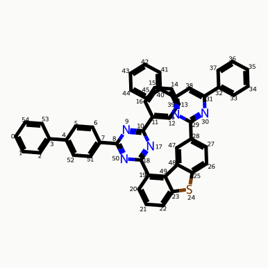 c1ccc(-c2ccc(-c3nc(-c4ccccc4)nc(-c4cccc5sc6ccc(-c7nc(-c8ccccc8)cc(-c8ccccc8)n7)cc6c45)n3)cc2)cc1